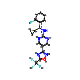 Fc1ccccc1C(Nc1ncc(-c2noc(C(F)(F)F)n2)cn1)C1CC1